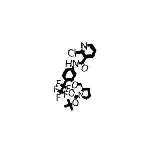 CC(C)(C)OC(=O)N1CCC[C@@H]1COc1cc(NC(=O)c2cccnc2Cl)ccc1C(F)(F)C(F)(F)F